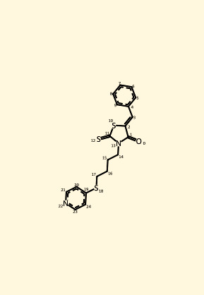 O=C1C(=Cc2ccccc2)SC(=S)N1CCCCSc1ccncc1